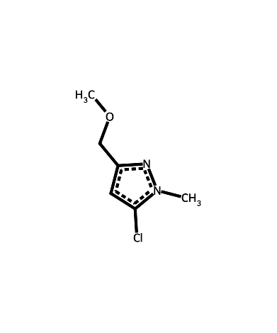 COCc1cc(Cl)n(C)n1